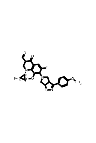 COc1ccc(C2=NOC3CN(c4c(F)cc5c(c4OC)N([C@@H]4C[C@@H]4F)CC(C=O)C5=O)CC23)cc1